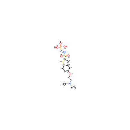 CN(C)CCOc1ccc2sc(S(=O)(=O)NCP(=O)(O)O)cc2c1